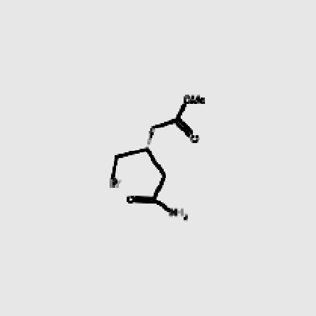 COC(=O)C[C@H](CC(N)=O)CC(C)C